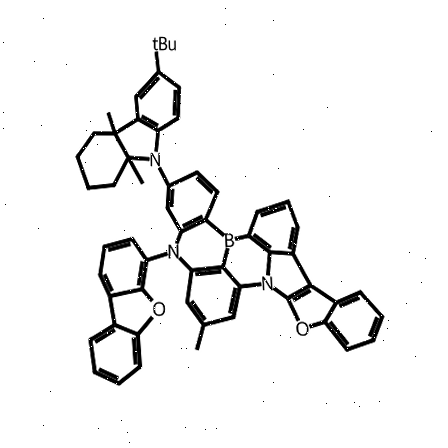 Cc1cc2c3c(c1)-n1c4oc5ccccc5c4c4cccc(c41)B3c1ccc(N3c4ccc(C(C)(C)C)cc4C4(C)CCCCC34C)cc1N2c1cccc2c1oc1ccccc12